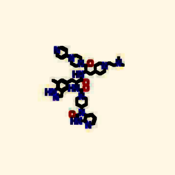 Cc1cc(C[C@H](NC(=O)N2CCC(n3c(=O)[nH]c4ncccc43)CC2)C(=O)N[C@H](CC2CCN(CCN(C)C)CC2)C(=O)N2CCN(c3ccncc3)CC2)cc2cn[nH]c12